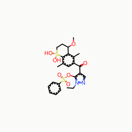 CCn1ncc(C(=O)c2cc(C)c3c(c2C)C(OC)CCS3(O)O)c1OS(=O)(=O)c1ccccc1